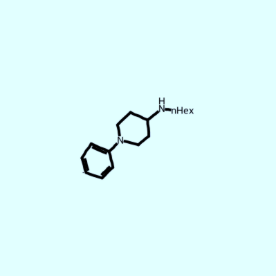 CCCCCCNC1CCN(c2cc[c]cc2)CC1